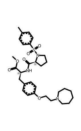 COC(=O)[C@H](Cc1ccc(OCCN2CCCCCC2)cc1)NC(=O)[C@@H]1CCCN1S(=O)(=O)c1ccc(C)cc1